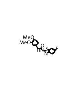 COc1ccc(CC(=O)Nc2nc3ccc(F)cc3s2)cc1OC